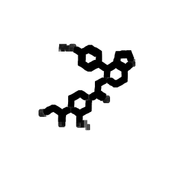 COc1ccc(C2c3ccsc3CCN2CC(=O)N2CCN(C(=O)CCl)C(C)C2)cc1